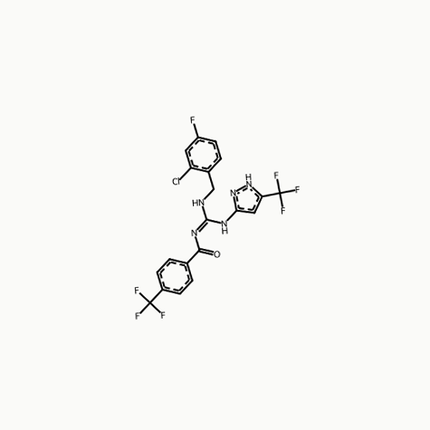 O=C(/N=C(/NCc1ccc(F)cc1Cl)Nc1cc(C(F)(F)F)[nH]n1)c1ccc(C(F)(F)F)cc1